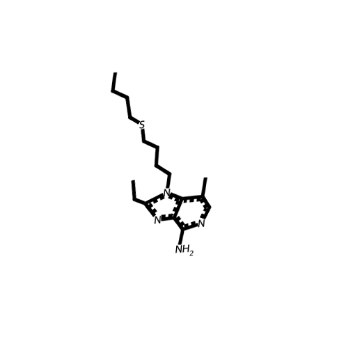 CCCCSCCCCn1c(CC)nc2c(N)ncc(C)c21